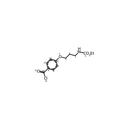 CCOC(=O)NCCCOc1ccc(C(=O)Cl)cc1